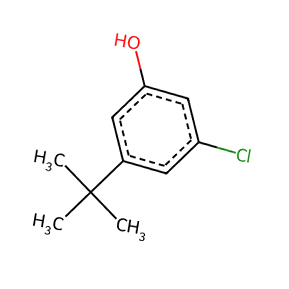 CC(C)(C)c1cc(O)cc(Cl)c1